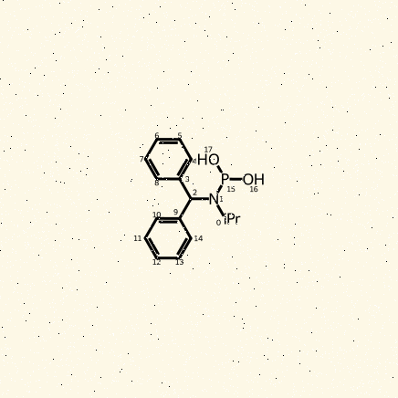 CC(C)N(C(c1ccccc1)c1ccccc1)P(O)O